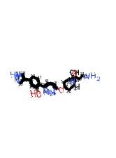 CC1=C2C[C@H](Oc3ccc(-c4ccc(-c5cn[nH]c5)cc4O)nn3)C[C@H](C1)N2C(=O)CCN